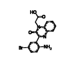 Nc1ccc(Br)cc1-c1nc2ccccc2n(CC(=O)O)c1=O